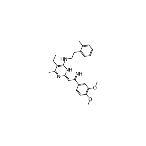 CCC1=C(NCCc2ccccc2C)N/C(=C\C(=N)c2ccc(OC)c(OC)c2)N=C1C